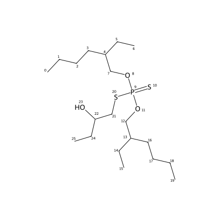 CCCCC(CC)COP(=S)(OCC(CC)CCCC)SCC(O)CC